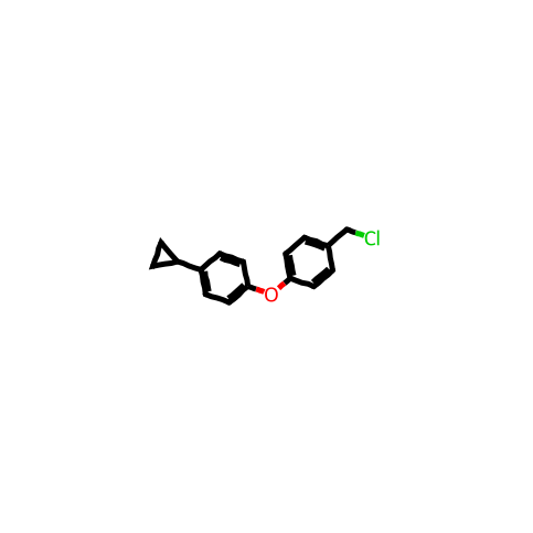 ClCc1ccc(Oc2ccc(C3CC3)cc2)cc1